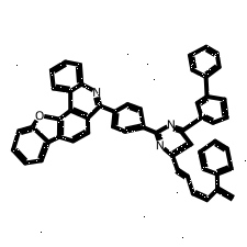 C=C(/C=C\C=C\c1cc(-c2cccc(-c3ccccc3)c2)nc(-c2ccc(-c3nc4ccccc4c4c3ccc3c5ccccc5oc34)cc2)n1)c1ccccc1